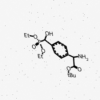 CCOP(=O)(OCC)C(O)c1ccc(C(N)C(=O)OC(C)(C)C)cc1